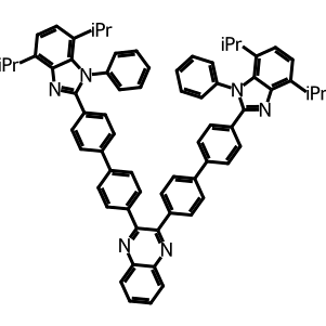 CC(C)c1ccc(C(C)C)c2c1nc(-c1ccc(-c3ccc(-c4nc5ccccc5nc4-c4ccc(-c5ccc(-c6nc7c(C(C)C)ccc(C(C)C)c7n6-c6ccccc6)cc5)cc4)cc3)cc1)n2-c1ccccc1